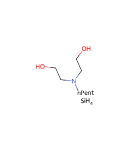 CCCCCN(CCO)CCO.[SiH4]